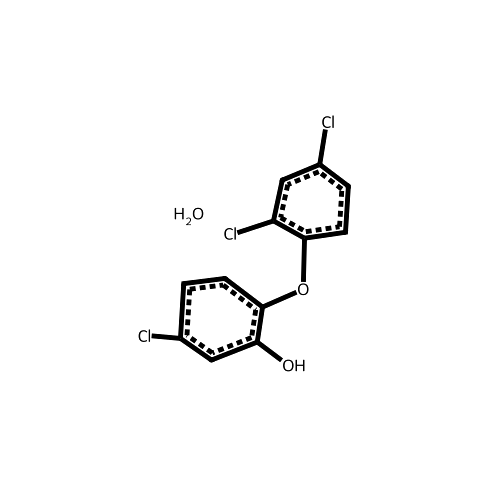 O.Oc1cc(Cl)ccc1Oc1ccc(Cl)cc1Cl